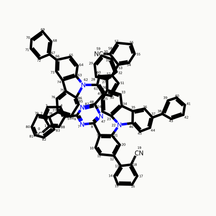 N#Cc1cccc(-c2nc(-c3ccc(-c4ccccc4C#N)cc3-n3c4ccc(-c5ccccc5)cc4c4cc(-c5ccccc5)ccc43)nc(-c3ccc(-c4ccccc4C#N)cc3-n3c4ccc(-c5ccccc5)cc4c4cc(-c5ccccc5)ccc43)n2)c1